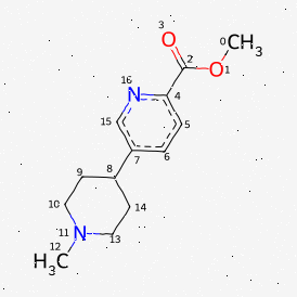 COC(=O)c1ccc(C2CCN(C)CC2)cn1